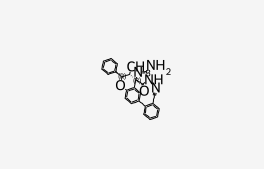 CC1[C@H](c2ccccc2)Oc2ccc(-c3ccccc3C#N)cc2[C@]12N=C(N)NC2=O